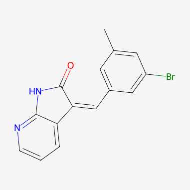 Cc1cc(Br)cc(C=C2C(=O)Nc3ncccc32)c1